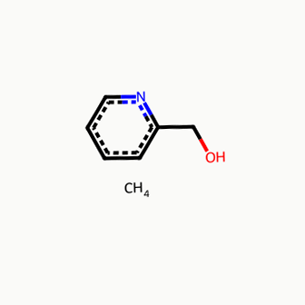 C.OCc1ccccn1